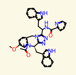 COc1ccc(Cn2c(C(Cc3c[nH]c4ccccc34)NC(=O)c3ccccn3)nnc2[C@@H](Cc2c[nH]c3ccccc23)NC(C)=O)cc1